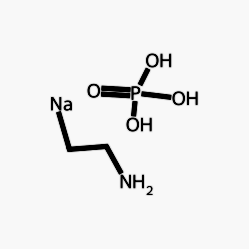 NC[CH2][Na].O=P(O)(O)O